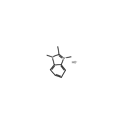 Cc1n(C)c2ccccc2[n+]1C.[OH-]